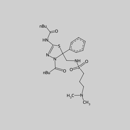 CCCCC(=O)NC1=NN(C(=O)CCCC)C(CNS(=O)(=O)CCCN(C)C)(c2ccccc2)S1